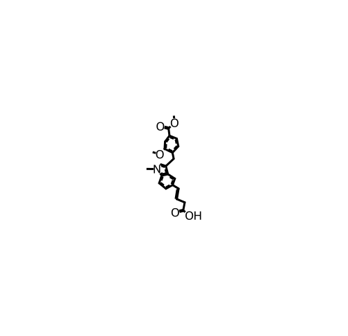 COC(=O)c1ccc(Cc2cn(C)c3ccc(C=CCC(=O)O)cc23)c(OC)c1